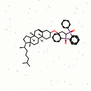 CC(C)CCC[C@@H](C)[C@H]1CC[C@H]2[C@@H]3CC=C4C[C@@H](OCCC(P(=O)(c5ccccc5)c5ccccc5)P(=O)(c5ccccc5)c5ccccc5)CC[C@]4(C)[C@H]3CC[C@]12C